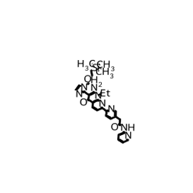 CCn1c(N)c(-c2nccn2COCC[Si](C)(C)C)c(=O)c2ccc(-c3ccc(CC(=O)Nc4ccccn4)cn3)nc21